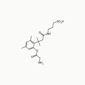 Cc1cc(C)c(C(C)(C)CC(=O)NCCCS(=O)(=O)O)c(OC(=O)CN)c1